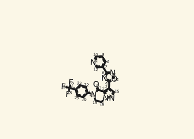 O=C1c2c(-c3nc(-c4cccnc4)no3)cnn2CCN1c1ccc(C(F)(F)F)cc1